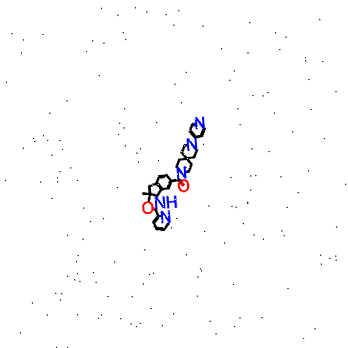 CC1(C)Cc2ccc(C(=O)N3CCC4(CC3)CCN(c3ccncc3)CC4)cc2C1NC(=O)c1ccccn1